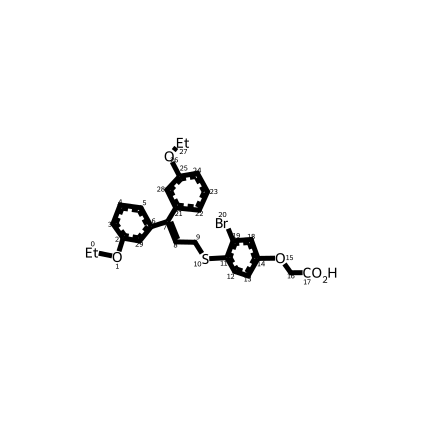 CCOc1cccc(C(=CCSc2ccc(OCC(=O)O)cc2Br)c2cccc(OCC)c2)c1